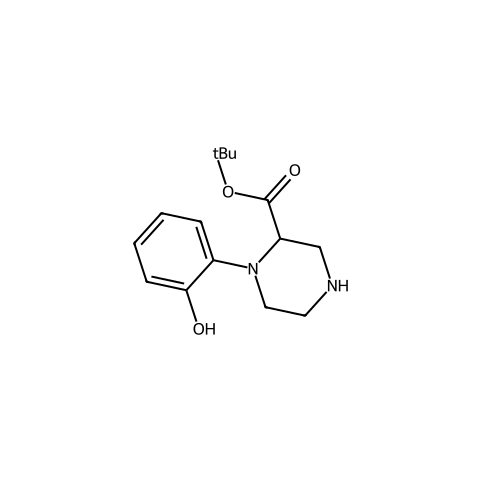 CC(C)(C)OC(=O)C1CNCCN1c1ccccc1O